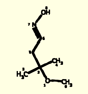 COC(C)(C)CC=NO